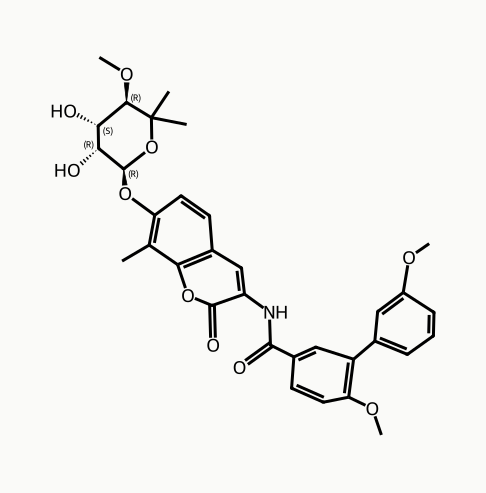 COc1cccc(-c2cc(C(=O)Nc3cc4ccc(O[C@@H]5OC(C)(C)[C@H](OC)[C@@H](O)[C@H]5O)c(C)c4oc3=O)ccc2OC)c1